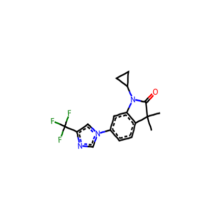 CC1(C)C(=O)N(C2CC2)c2cc(-n3cnc(C(F)(F)F)c3)ccc21